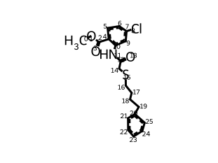 COC(=O)c1ccc(Cl)cc1NC(=O)CSCCCCc1ccccc1